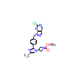 CC(C)(C)OC(=O)N1CC(n2cc(C(F)(F)F)nc2-c2ccc(Cn3ncc4cnc(Cl)nc43)cc2)C1